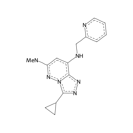 CNc1cc(NCc2ccccn2)c2nnc(C3CC3)n2n1